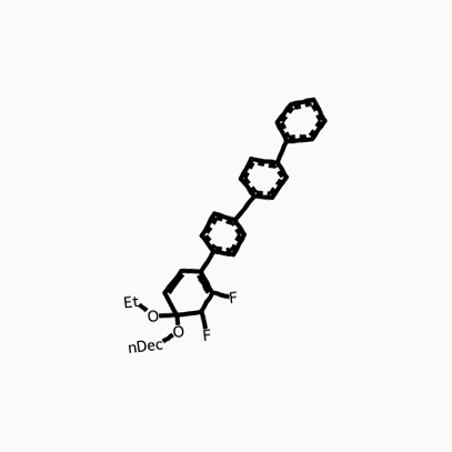 CCCCCCCCCCOC1(OCC)C=CC(c2ccc(-c3ccc(-c4ccccc4)cc3)cc2)=C(F)C1F